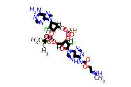 CNCCOC(=O)Nc1ncnc2c1ncn2[C@@H]1O[C@@H]2CO[P@@](=O)(SC(C)(C)C)O[C@@H]3[C@@H](CO[P@@](=O)(S)O[C@H]2[C@H]1F)C[C@@H](n1cnc2c(N)ncnc21)[C@@H]3F